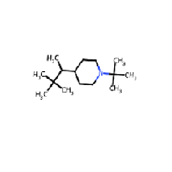 CC(C1CCN(C(C)(C)C)CC1)C(C)(C)C